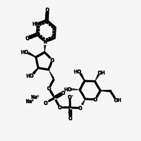 O=c1ccn([C@@H]2O[C@H](COP(=O)([O-])OP(=O)([O-])O[C@H]3O[C@H](CO)[C@@H](O)[C@H](O)[C@H]3O)[C@@H](O)[C@H]2O)c(=O)[nH]1.[Na+].[Na+]